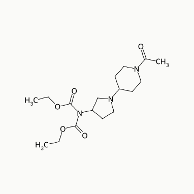 CCOC(=O)N(C(=O)OCC)C1CCN(C2CCN(C(C)=O)CC2)C1